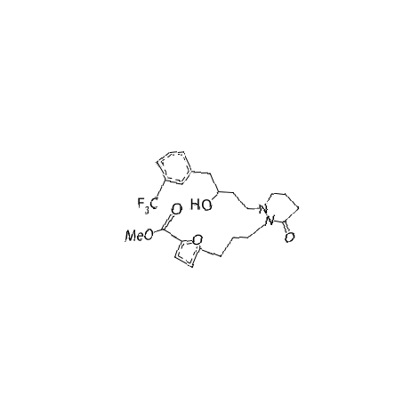 COC(=O)c1ccc(CCCN2C(=O)CCCN2CCC(O)Cc2cccc(C(F)(F)F)c2)o1